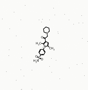 Cc1cc(C(=O)CN2CCCCC2)c(C)n1-c1ccc(S(N)(=O)=O)cc1